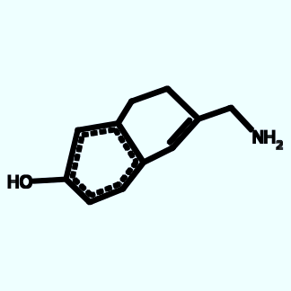 NCC1=Cc2ccc(O)cc2CC1